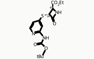 CCOC(=O)[C@H]1NC(=O)[C@@H]1Sc1ccnc(NC(=O)OC(C)(C)C)c1